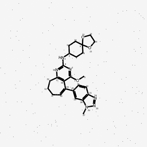 COc1nc(NC2CCC3(CC2)OCCO3)nc2c1C(c1ccc3nnn(C)c3c1)=CCCC2